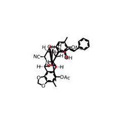 COc1c(C)cc2c(c1O)[C@H]1N[C@H](C2)[C@H](C#N)N2C1[C@@H]1SC[C@H](NC(=O)/C=C/c3ccccc3)C(=O)OC[C@H]2c2c3c(c(C)c(OC(C)=O)c21)OCO3